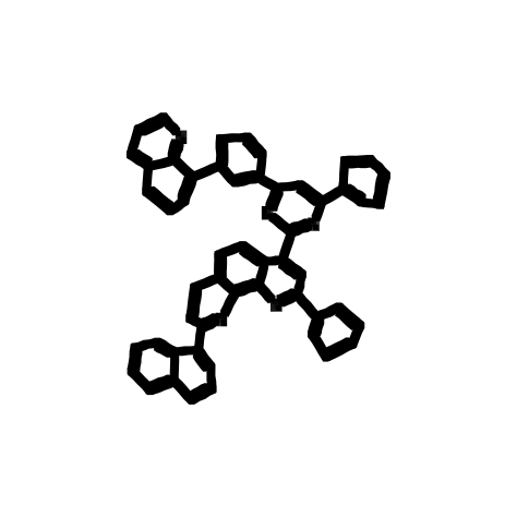 c1ccc(-c2cc(-c3cccc(-c4cccc5cccnc45)c3)nc(-c3cc(-c4ccccc4)nc4c3ccc3ccc(-c5cccc6ccccc56)nc34)n2)cc1